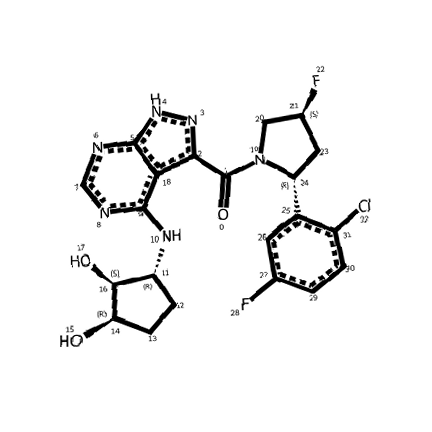 O=C(c1n[nH]c2ncnc(N[C@@H]3CC[C@@H](O)[C@H]3O)c12)N1C[C@@H](F)C[C@@H]1c1cc(F)ccc1Cl